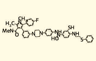 CNC(=O)c1c(-c2cccc(N3CCN(c4ccc(NN(O)c5ccc(NCCSc6ccccc6)c(S)c5)cc4)CC3)c2)c(-c2ccc(F)cc2)n(C)c1C